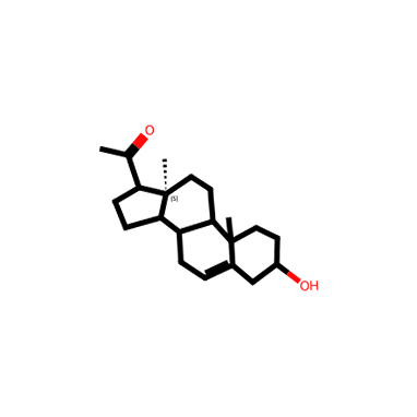 CC(=O)C1CCC2C3CC=C4CC(O)CCC4(C)C3CC[C@]12C